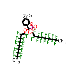 O=P([O-])([O-])C(OC(F)=C(F)C(F)(F)C(F)(F)C(F)(F)C(F)(F)C(F)(F)C(F)(F)C(F)(F)F)(OC(F)=C(F)C(F)(F)C(F)(F)C(F)(F)C(F)(F)C(F)(F)C(F)(F)C(F)(F)F)c1ccccc1.[Zn+2]